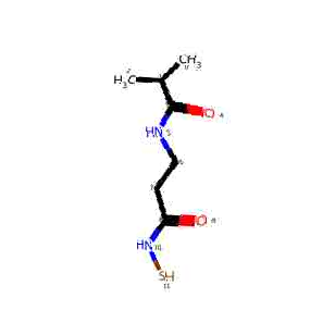 CC(C)C(=O)NCCC(=O)NS